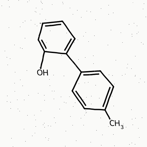 Cc1ccc(-c2cc[c]cc2O)cc1